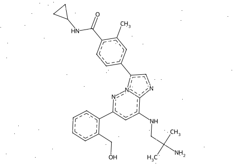 Cc1cc(-c2cnc3c(NCC(C)(C)N)cc(-c4ccccc4CO)nn23)ccc1C(=O)NC1CC1